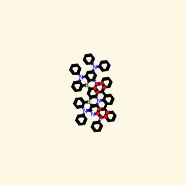 c1ccc(-c2cccc(-c3ccccc3)c2N2c3cc4c(cc3B3c5ccccc5N(c5ccccc5)c5nc(N(c6ccccc6)c6ccccc6)cc2c53)B2c3ccccc3N(c3ccccc3)c3cc(N(c5ccccc5)c5ccccc5)cc(c32)N4c2ccccc2)cc1